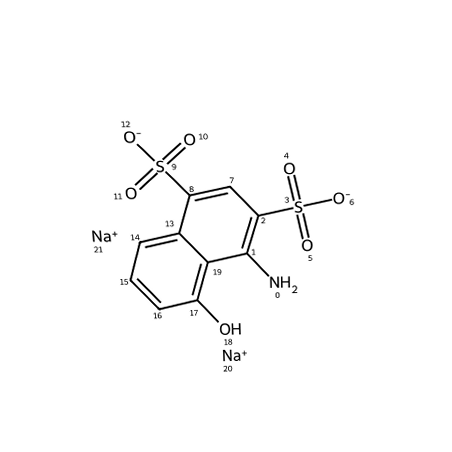 Nc1c(S(=O)(=O)[O-])cc(S(=O)(=O)[O-])c2cccc(O)c12.[Na+].[Na+]